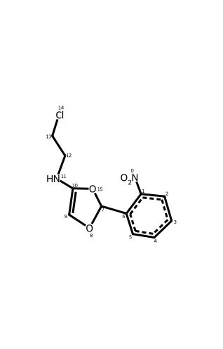 O=[N+]([O-])c1ccccc1C1OC=C(NCCCl)O1